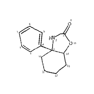 O=C1NC2(c3ccccc3)CCCCC2O1